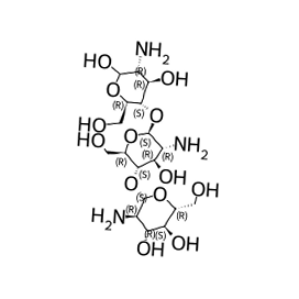 N[C@H]1[C@H](O[C@H]2[C@H](O)[C@@H](N)[C@H](O[C@H]3[C@H](O)[C@@H](N)C(O)O[C@@H]3CO)O[C@@H]2CO)O[C@H](CO)[C@@H](O)[C@@H]1O